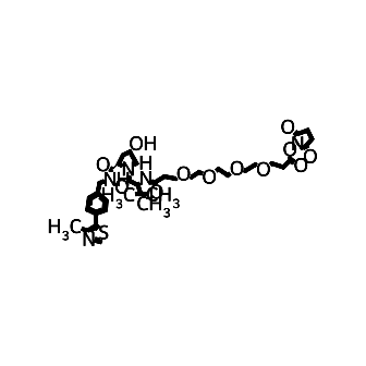 Cc1ncsc1-c1ccc(CNC(=O)[C@@H]2C[C@@H](O)CN2C(=O)C(NC(=O)CCOCCOCCOCCOCCC(=O)ON2C(=O)CCC2=O)C(C)(C)C)cc1